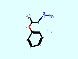 CC(CNN)Oc1ccccc1.Cl